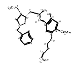 CCOC(=O)[C@@H]1CN(Cc2ccccc2)C[C@H]1C[C@H](Oc1cc(OCCCOC)c(OC)cc1Br)C(C)C